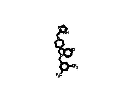 Cl.FC(F)(F)c1cc(COCC2(c3ccccc3)CCN(Cc3ncc[nH]3)CC2)cc(C(F)(F)F)c1